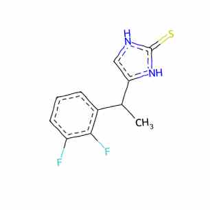 CC(c1c[nH]c(=S)[nH]1)c1cccc(F)c1F